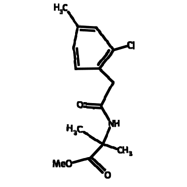 COC(=O)C(C)(C)NC(=O)Cc1ccc(C)cc1Cl